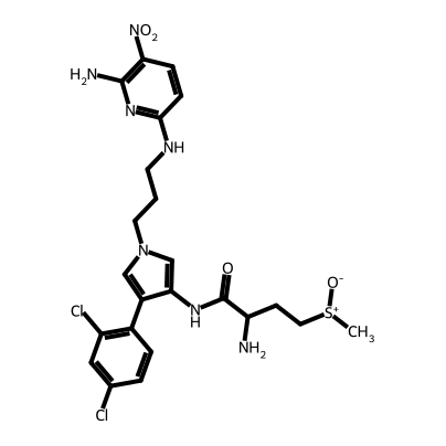 C[S+]([O-])CCC(N)C(=O)Nc1cn(CCCNc2ccc([N+](=O)[O-])c(N)n2)cc1-c1ccc(Cl)cc1Cl